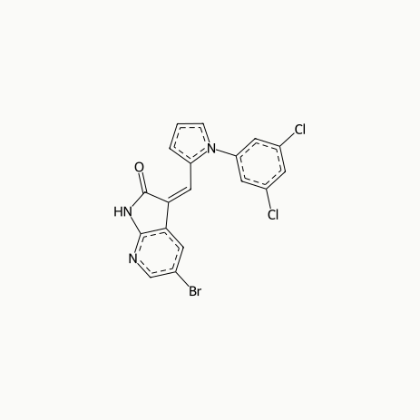 O=C1Nc2ncc(Br)cc2C1=Cc1cccn1-c1cc(Cl)cc(Cl)c1